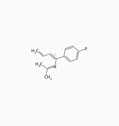 C=C/C=C(\N=C(C)C)c1ccc(F)cc1